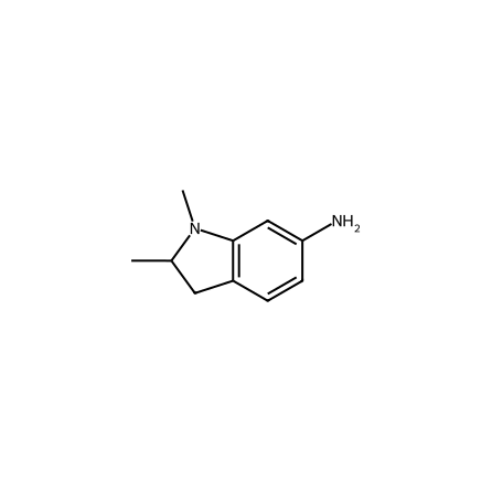 CC1Cc2ccc(N)cc2N1C